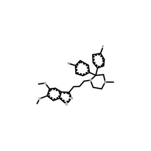 COc1cc2onc(CCCN3CCN(C)CC3(c3ccc(F)cc3)c3ccc(F)cc3)c2cc1OC